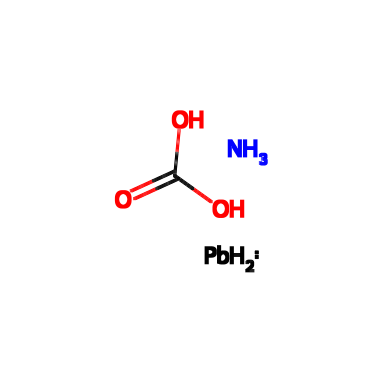 N.O=C(O)O.[PbH2]